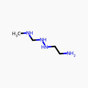 CNCNNCCN